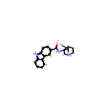 O=C(N[C@H]1CN2CCC1CC2)c1ccc2[nH]c3ccccc3c2c1